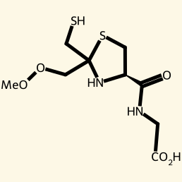 COOCC1(CS)N[C@H](C(=O)NCC(=O)O)CS1